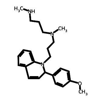 CNCCCN(C)CCCN1c2ccccc2C=CC1c1ccc(OC)cc1